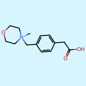 C[N+]1(Cc2ccc(CC(=O)O)cc2)CCOCC1